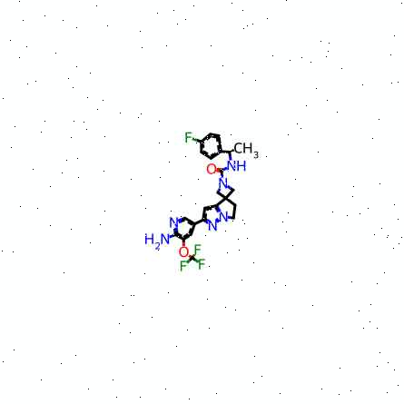 C[C@@H](NC(=O)N1CC2(CCn3nc(-c4cnc(N)c(OC(F)(F)F)c4)cc32)C1)c1ccc(F)cc1